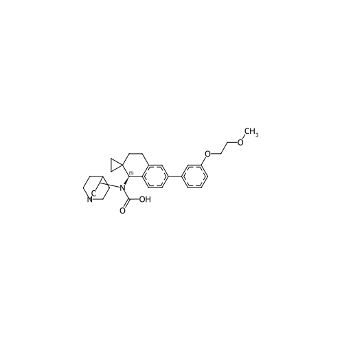 COCCOc1cccc(-c2ccc3c(c2)CCC2(CC2)[C@@H]3N(C(=O)O)C2CN3CCC2CC3)c1